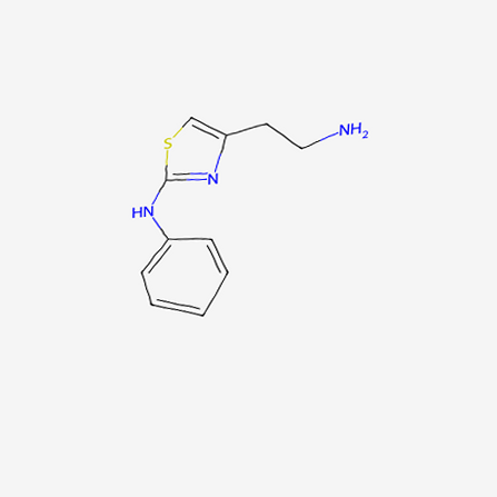 NCCc1csc(Nc2ccccc2)n1